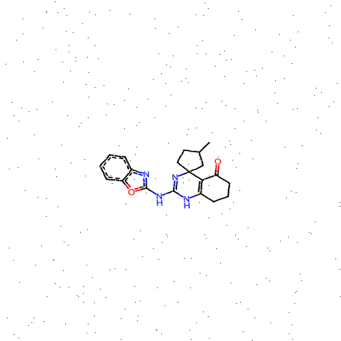 CC1CCC2(C1)N=C(Nc1nc3ccccc3o1)NC1=C2C(=O)CCC1